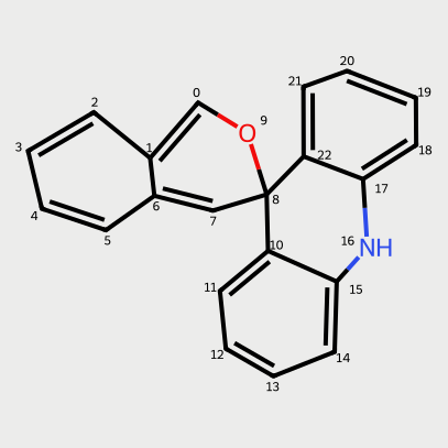 C1=c2ccccc2=CC2(O1)c1ccccc1Nc1ccccc12